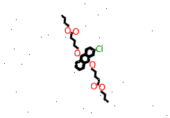 CCCCOC(=O)CCCCOc1c2ccccc2c(OCCCCC(=O)OCCCC)c2cc(Cl)ccc12